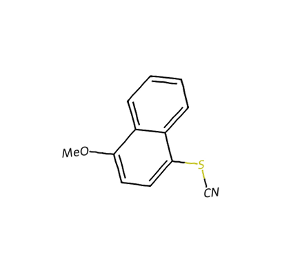 COc1ccc(SC#N)c2ccccc12